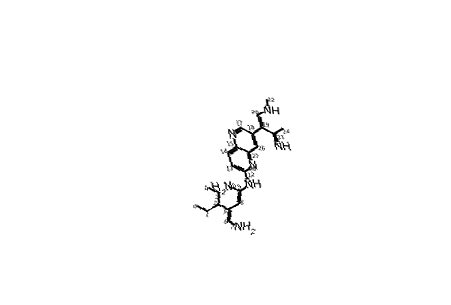 CCC(CC)C(=C/N)/C=C(\N)Nc1ccc2ncc(/C(=C/NC)C(C)=N)cc2n1